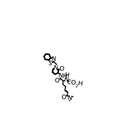 CN(C)C(=O)C=CCCC(NC(=O)O)C(=O)Nc1cccn(Cc2nc3ccccc3s2)c1=O